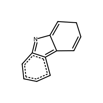 C1=CC2=c3ccccc3=NC2=CC1